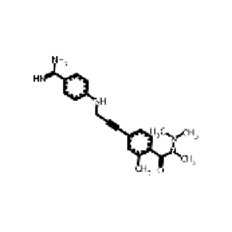 Cc1cc(C#CCNc2ccc(C(=N)N)cc2)ccc1C(=O)N(C)N(C)C